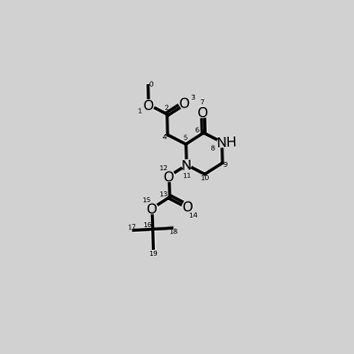 COC(=O)CC1C(=O)NCCN1OC(=O)OC(C)(C)C